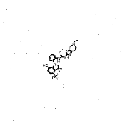 CCN1CCc2nc(NC(=O)Nc3ccccc3N3CC(C)(C)c4c(C(F)(F)F)ccc(O)c43)sc2C1